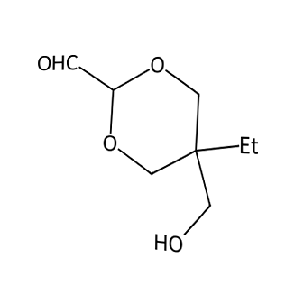 CCC1(CO)COC(C=O)OC1